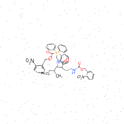 CC(=O)OCC(C)C1C(CCNC(=O)OCc2ccccc2[N+](=O)[O-])C(=O)N1CP(C(=O)OCc1ccccc1[N+](=O)[O-])(c1ccccc1)(c1ccccc1)c1ccccc1